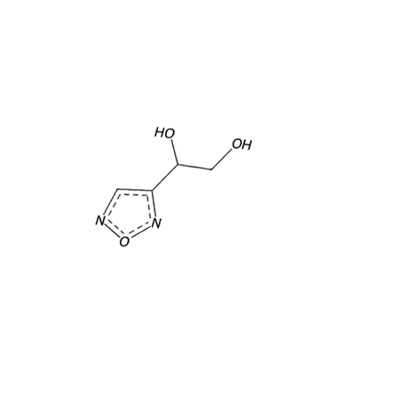 OCC(O)c1cnon1